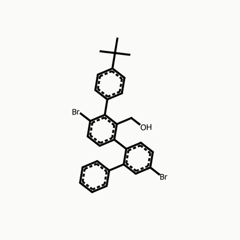 CC(C)(C)c1ccc(-c2c(Br)ccc(-c3ccc(Br)cc3-c3ccccc3)c2CO)cc1